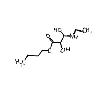 CCCCOC(=O)C(O)C(O)NCC